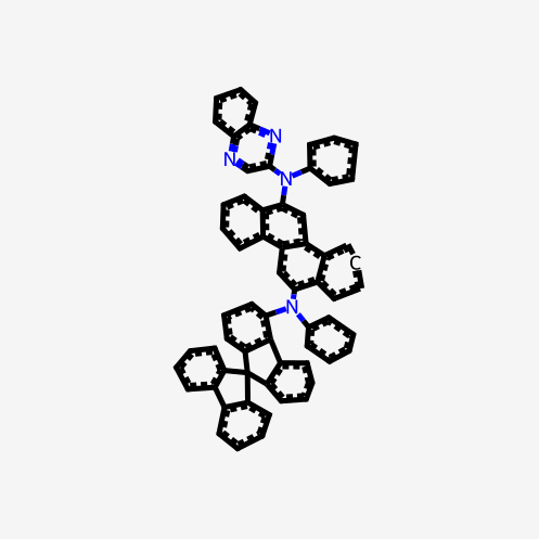 c1ccc(N(c2cnc3ccccc3n2)c2cc3c4ccccc4c(N(c4ccccc4)c4cccc5c4-c4ccccc4C54c5ccccc5-c5ccccc54)cc3c3ccccc23)cc1